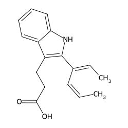 C/C=C\C(=C/C)c1[nH]c2ccccc2c1CCC(=O)O